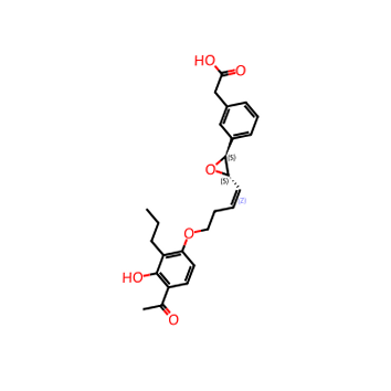 CCCc1c(OCC/C=C\[C@@H]2O[C@H]2c2cccc(CC(=O)O)c2)ccc(C(C)=O)c1O